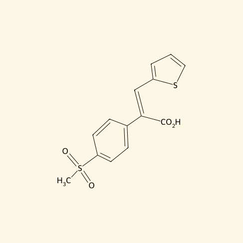 CS(=O)(=O)c1ccc(C(=Cc2cccs2)C(=O)O)cc1